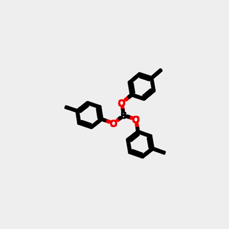 Cc1ccc(OB(Oc2ccc(C)cc2)Oc2cccc(C)c2)cc1